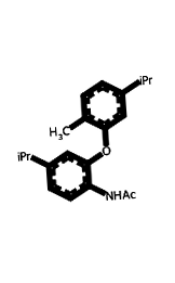 CC(=O)Nc1ccc(C(C)C)cc1Oc1cc(C(C)C)ccc1C